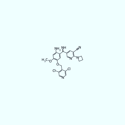 COc1cc(N)c(C(=N)c2cnc(N3CCC3)c(C#N)c2)cc1OCc1c(Cl)cncc1Cl